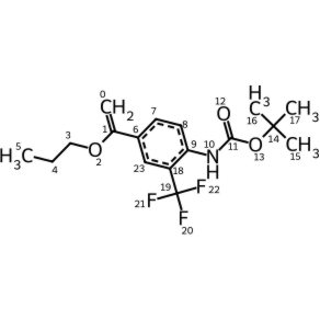 C=C(OCCC)c1ccc(NC(=O)OC(C)(C)C)c(C(F)(F)F)c1